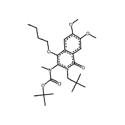 CCCCOc1c(N(C)C(=O)OC(C)(C)C)n(CC(C)(C)C)c(=O)c2cc(OC)c(OC)cc12